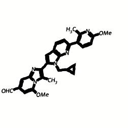 COc1ccc(-c2ccc3cc(-c4nc5cc(C=O)cc(OC)n5c4C)n(CC4CC4)c3n2)c(C)n1